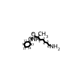 C[C@@H](CCCCCN)C(=O)NOC1CCCCC1